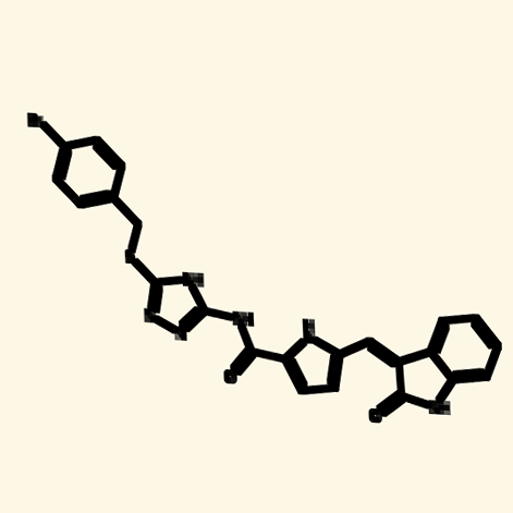 O=C1Nc2ccccc2/C1=C/c1ccc(C(=O)Nc2nnc(SCc3ccc(Br)cc3)[nH]2)[nH]1